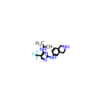 CC(C)Nc1nc(Nc2ccc3c(c2)CCNC3)ncc1C(F)(F)F